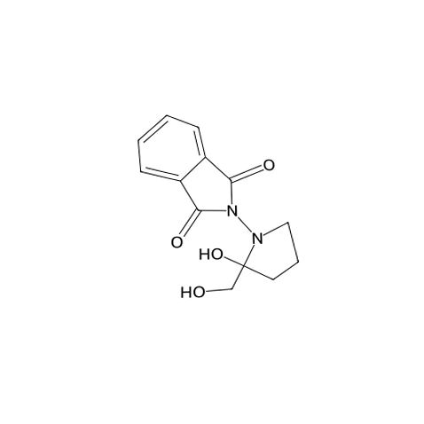 O=C1c2ccccc2C(=O)N1N1CCCC1(O)CO